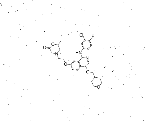 CC1CN(CCOc2ccc3c(c2)C(Nc2ccc(F)c(Cl)c2)N=CN3OCC2CCOCC2)CC(=O)O1